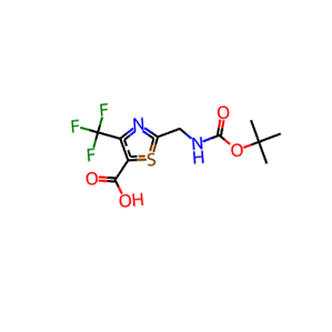 CC(C)(C)OC(=O)NCc1nc(C(F)(F)F)c(C(=O)O)s1